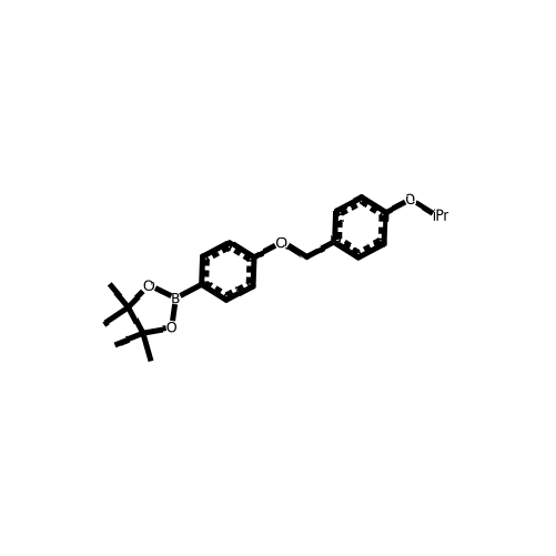 CC(C)Oc1ccc(COc2ccc(B3OC(C)(C)C(C)(C)O3)cc2)cc1